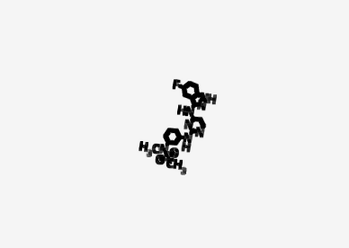 CN(c1cccc(Nc2nccc(Nc3n[nH]c4ccc(F)cc34)n2)c1)S(C)(=O)=O